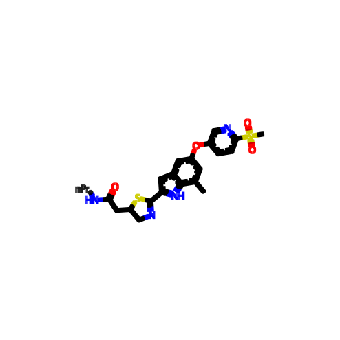 CCCNC(=O)CC1CN=C(c2cc3cc(Oc4ccc(S(C)(=O)=O)nc4)cc(C)c3[nH]2)S1